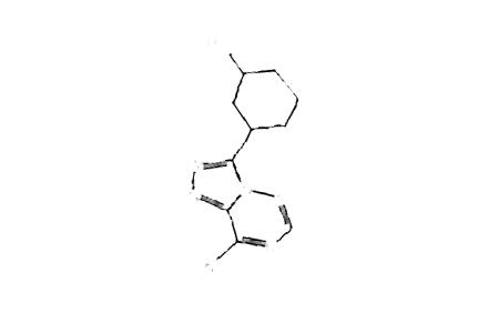 CC1CCCC(c2nnc3c(N)ncnn23)C1